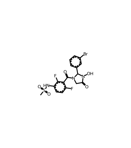 CS(=O)(=O)Nc1ccc(F)c(C(=O)N2CC(=O)N(O)C2c2cccc(Br)c2)c1F